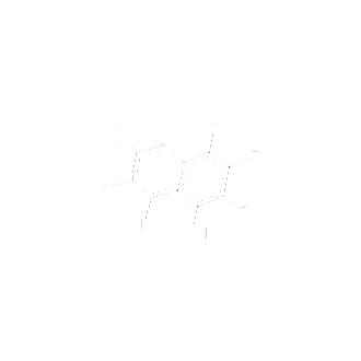 Cc1c(F)c(F)c(F)c2[c]c(F)c(F)c(F)c12